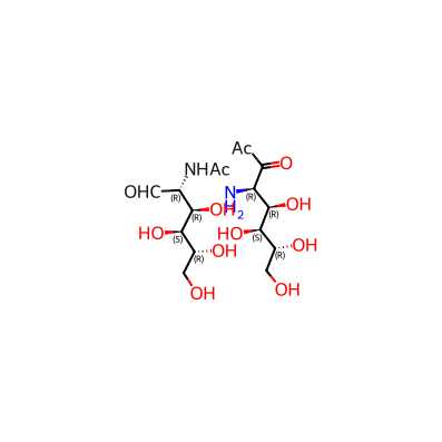 CC(=O)C(=O)[C@H](N)[C@@H](O)[C@H](O)[C@H](O)CO.CC(=O)N[C@@H](C=O)[C@@H](O)[C@H](O)[C@H](O)CO